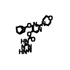 O=C(Nc1nn[nH]n1)Oc1cnc(N2CCOCC2)nc1OC1CC2CCC1C2